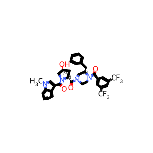 Cn1cc(C(=O)N2C[C@H](O)C[C@@H]2C(=O)N2CCN(C(=O)c3cc(C(F)(F)F)cc(C(F)(F)F)c3)[C@H](Cc3ccccc3)C2)c2ccccc21